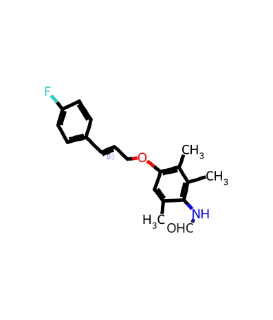 Cc1cc(OC/C=C/c2ccc(F)cc2)c(C)c(C)c1NC=O